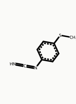 CSc1ccc(N=C=N)cc1